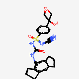 N#CN=S(=O)(NC(=O)Nc1c2c(cc3c1CCC3)CCC2)c1ccc(C2(O)COC2)cc1